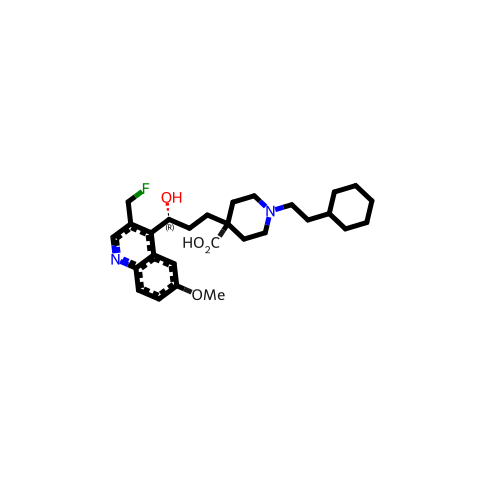 COc1ccc2ncc(CF)c([C@H](O)CCC3(C(=O)O)CCN(CCC4CCCCC4)CC3)c2c1